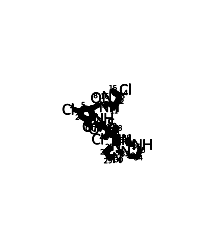 COc1cc(Cl)cc(C(=O)Nc2ccc(Cl)cn2)c1NC(=O)c1scc(CN2C=CC=NC2N2CCCNC2=N)c1Cl